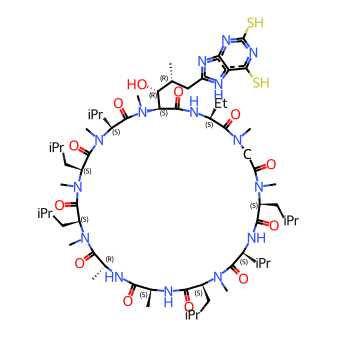 CC[C@@H]1NC(=O)[C@H]([C@H](O)[C@H](C)Cc2nc3nc(S)nc(S)c3[nH]2)N(C)C(=O)[C@H](C(C)C)N(C)C(=O)[C@H](CC(C)C)N(C)C(=O)[C@H](CC(C)C)N(C)C(=O)[C@@H](C)NC(=O)[C@H](C)NC(=O)[C@H](CC(C)C)N(C)C(=O)[C@H](C(C)C)NC(=O)[C@H](CC(C)C)N(C)C(=O)CN(C)C1=O